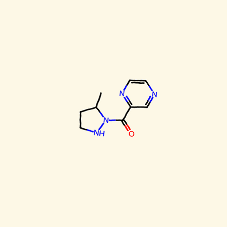 CC1CCNN1C(=O)c1cnccn1